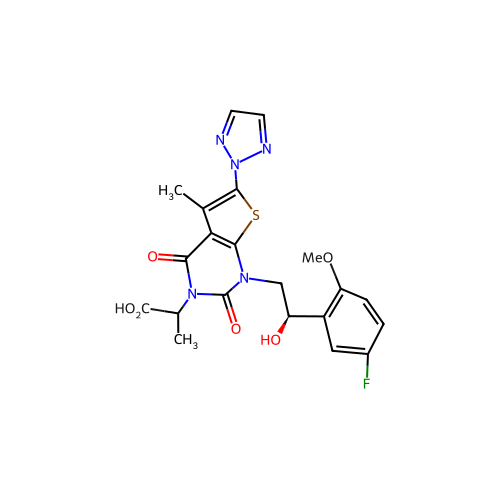 COc1ccc(F)cc1[C@@H](O)Cn1c(=O)n(C(C)C(=O)O)c(=O)c2c(C)c(-n3nccn3)sc21